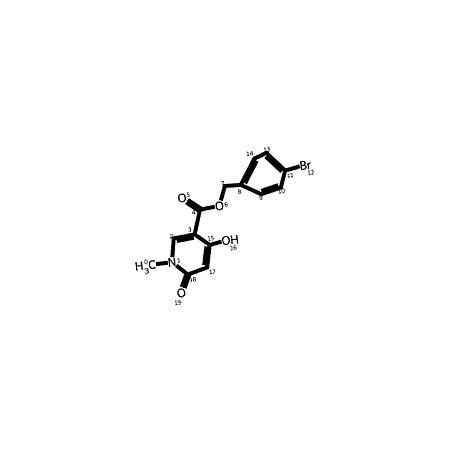 Cn1cc(C(=O)OCc2ccc(Br)cc2)c(O)cc1=O